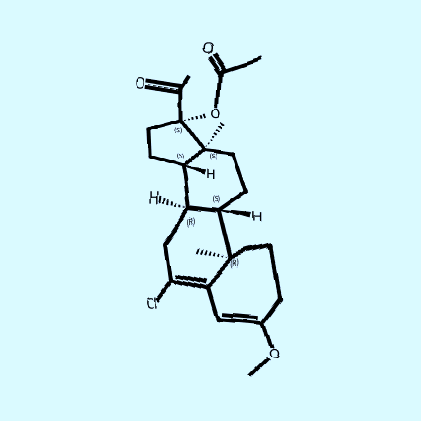 COC1=CC2=C(Cl)C[C@@H]3[C@H](CC[C@@]4(C)[C@H]3CC[C@@]4(OC(C)=O)C(C)=O)[C@@]2(C)CC1